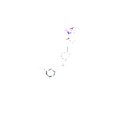 CN(CCC1CCN(C(=O)OCc2cc(Cl)cc(Cl)c2)CC1)C(=O)c1noc(=O)[nH]1